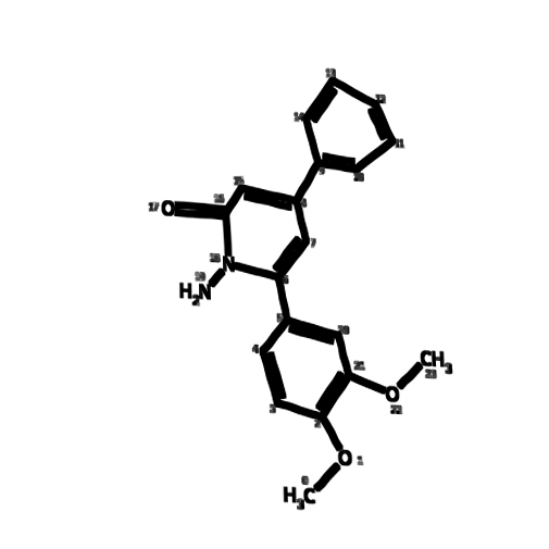 COc1ccc(-c2cc(-c3ccccc3)cc(=O)n2N)cc1OC